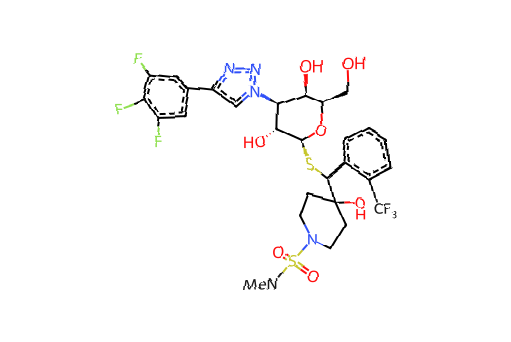 CNS(=O)(=O)N1CCC(O)(C(S[C@@H]2O[C@H](CO)[C@H](O)[C@H](n3cc(-c4cc(F)c(F)c(F)c4)nn3)[C@H]2O)c2ccccc2C(F)(F)F)CC1